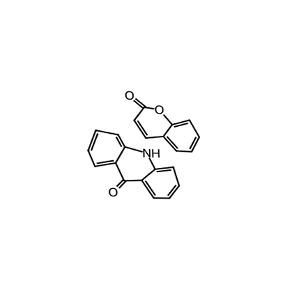 O=c1c2ccccc2[nH]c2ccccc12.O=c1ccc2ccccc2o1